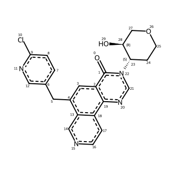 O=c1c2cc(Cc3ccc(Cl)nc3)c3cnccc3c2ncn1[C@H]1CCOC[C@@H]1O